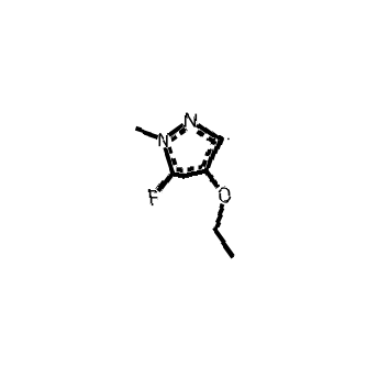 CCOc1[c]nn(C)c1F